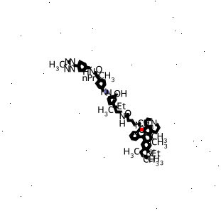 CCCC(C)(C(=O)NCc1ccc(-c2nnc(C)nn2)cc1)c1ccc(/N=N/c2ccc(C(C)(CC)CCNC(=O)CCCN(C)C(=O)c3ccccc3C3=c4cc5c(cc4C(C)(C)c4c3cc3c6c4CCCN6CCC3)=[N+](CC)C(C)(C)CC5C)cc2O)cc1